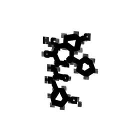 CN1C(=O)C(NC(=O)Nc2cccc(C(F)(F)F)c2)N=C(c2ccccc2)c2cc(Cl)ccc21